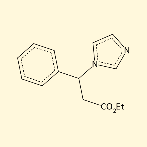 CCOC(=O)CC(c1ccccc1)n1ccnc1